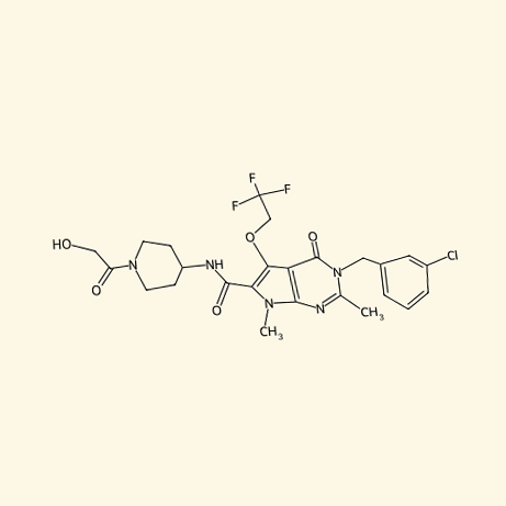 Cc1nc2c(c(OCC(F)(F)F)c(C(=O)NC3CCN(C(=O)CO)CC3)n2C)c(=O)n1Cc1cccc(Cl)c1